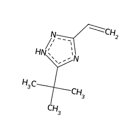 C=Cc1n[nH]c(C(C)(C)C)n1